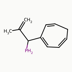 C=C(C)C(P)C1=CC=CCC=C1